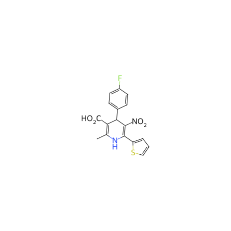 CC1=C(C(=O)O)C(c2ccc(F)cc2)C([N+](=O)[O-])=C(c2cccs2)N1